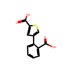 O=C(O)c1[c]c(-c2ccccc2C(=O)O)cs1